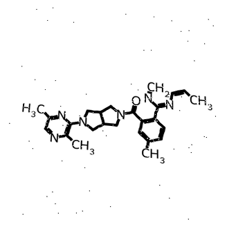 C=N/C(=N\C=C/C)c1ccc(C)cc1C(=O)N1CC2CN(c3nc(C)cnc3C)CC2C1